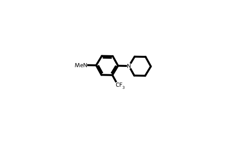 CNc1ccc(N2CCCCC2)c(C(F)(F)F)c1